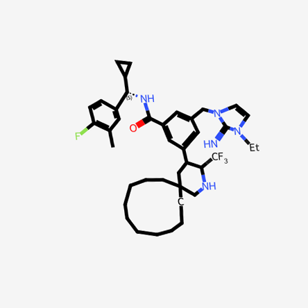 CCn1ccn(Cc2cc(C(=O)N[C@H](c3ccc(F)c(C)c3)C3CC3)cc(C3CC4(CCCCCCCCCC4)CNC3C(F)(F)F)c2)c1=N